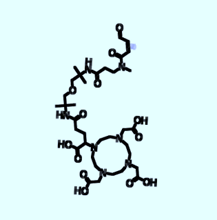 CN(CCC(=O)NC(C)(C)COCC(C)(C)NC(=O)CCC(C(=O)O)N1CCN(CC(=O)O)CCN(CC(=O)O)CCN(CC(=O)O)CC1)C(=O)/C=C\C=O